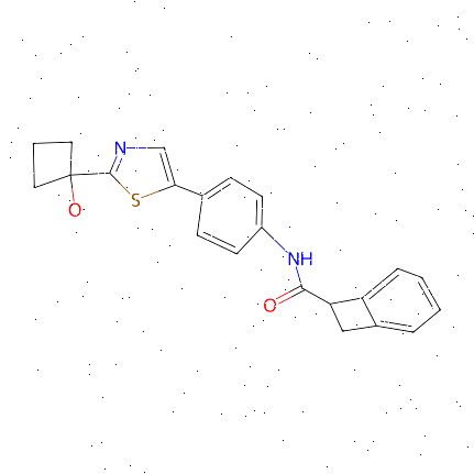 [O]C1(c2ncc(-c3ccc(NC(=O)C4Cc5ccccc54)cc3)s2)CCC1